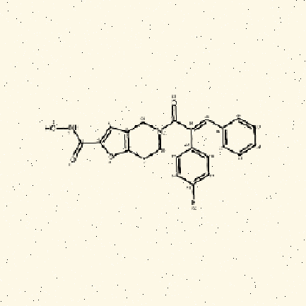 O=C(NO)c1cc2c(o1)CCN(C(=O)C(=Cc1ccccc1)c1ccc(F)cc1)C2